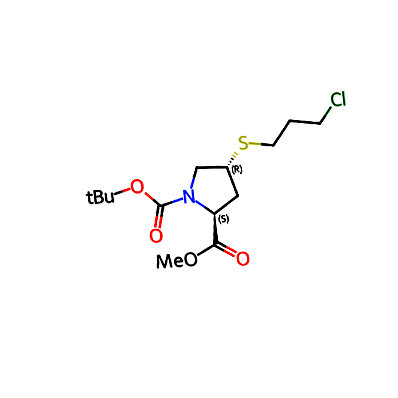 COC(=O)[C@@H]1C[C@@H](SCCCCl)CN1C(=O)OC(C)(C)C